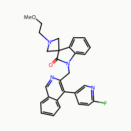 COCCN1CC2(C1)C(=O)N(Cc1ncc3ccccc3c1-c1ccc(F)nc1)c1ccccc12